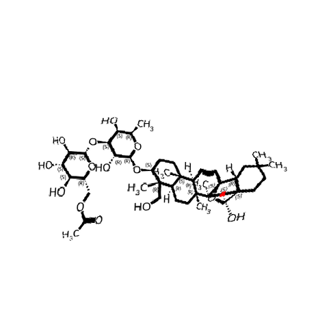 CC(=O)OC[C@H]1O[C@@H](O[C@H]2[C@@H](O)[C@@H](C)O[C@@H](O[C@H]3CC[C@@]4(C)[C@@H](CC[C@]5(C)[C@@H]4C=C[C@]46OC[C@@]7(CCC(C)(C)C[C@H]74)[C@@H](O)C[C@]65C)[C@]3(C)CO)[C@@H]2O)[C@H](O)[C@@H](O)[C@@H]1O